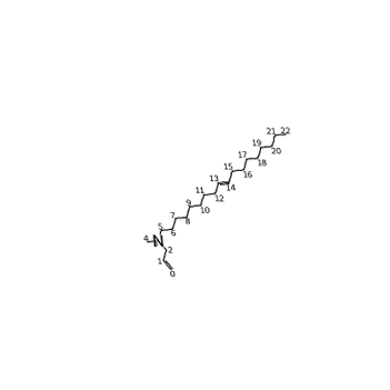 C=CCN(C)CCCCCCCC/C=C/CCCCCCCC